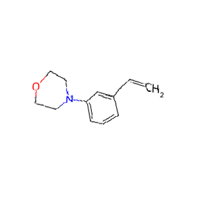 C=Cc1cccc(N2CCOCC2)c1